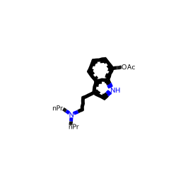 CCCN(CCC)CCc1c[nH]c2c(OC(C)=O)cccc12